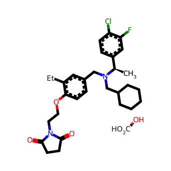 CCc1cc(CN(CC2CCCCC2)[C@H](C)c2ccc(Cl)c(F)c2)ccc1OCCN1C(=O)CCC1=O.O=C(O)O